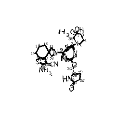 C[C@@]1(O)CCCN(c2cc(N3CC4(CCCc5sc(N)c(C#N)c54)C3)nc(OC[C@@H]3CCC(=O)N3)n2)C1